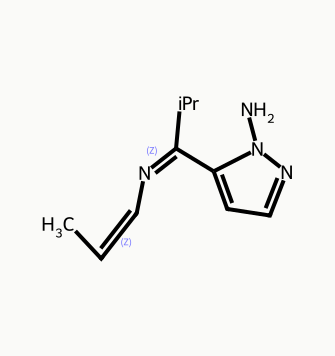 C/C=C\N=C(/c1ccnn1N)C(C)C